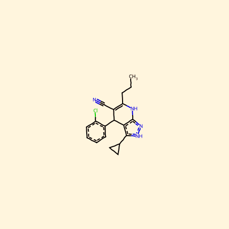 CCCC1=C(C#N)C(c2ccccc2Cl)c2c(n[nH]c2C2CC2)N1